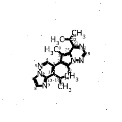 Cc1c(-c2cnn3ccnc3c2C(C)C)c(F)n2ncnc(C(C)C)c12